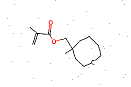 C=C(C)C(=O)OCC1(C)CCCCCCC1